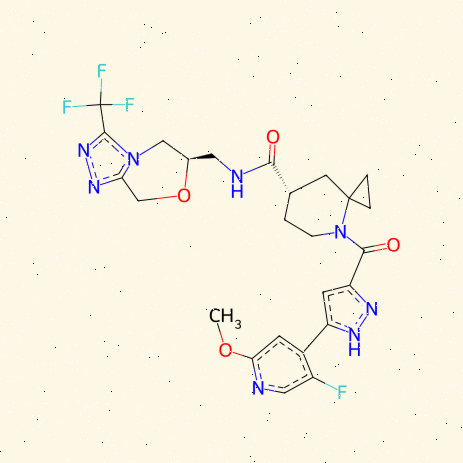 COc1cc(-c2cc(C(=O)N3CC[C@H](C(=O)NC[C@@H]4Cn5c(nnc5C(F)(F)F)CO4)CC34CC4)n[nH]2)c(F)cn1